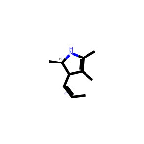 C/C=C\C1C(C)=C(C)N[C@@H]1C